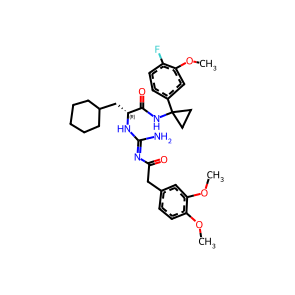 COc1cc(C2(NC(=O)[C@@H](CC3CCCCC3)NC(N)=NC(=O)Cc3ccc(OC)c(OC)c3)CC2)ccc1F